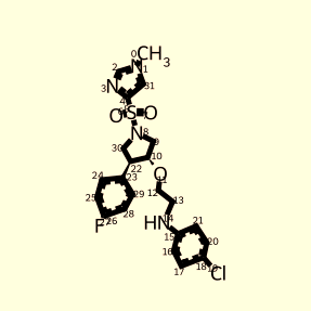 Cn1cnc(S(=O)(=O)N2C[C@H](OCCNc3ccc(Cl)cc3)[C@@H](c3ccc(F)cc3)C2)c1